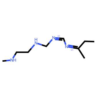 CC/C(C)=N\C=N/CNCCNC